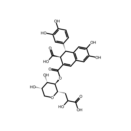 O=C(O[C@@H]1[C@@H](O)[C@@H](O)CO[C@H]1CC(O)C(=O)O)C1=Cc2cc(O)c(O)cc2[C@@H](c2ccc(O)c(O)c2)[C@@H]1C(=O)O